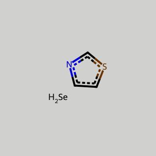 [SeH2].c1cscn1